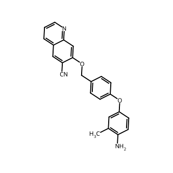 Cc1cc(Oc2ccc(COc3cc4ncccc4cc3C#N)cc2)ccc1N